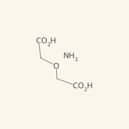 N.O=C(O)COCC(=O)O